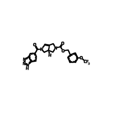 O=C(c1ccc2[nH]nnc2c1)N1C=C2CN(C(=O)OCc3cccc(OC(F)(F)F)c3)C[C@@H]2C1